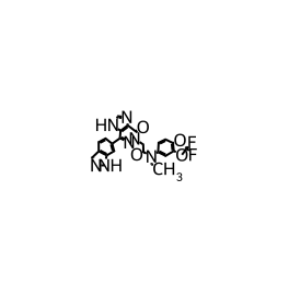 CCN(C(=O)Cn1nc(-c2ccc3cn[nH]c3c2)c2[nH]cnc2c1=O)c1ccc2c(c1)OC(F)(F)O2